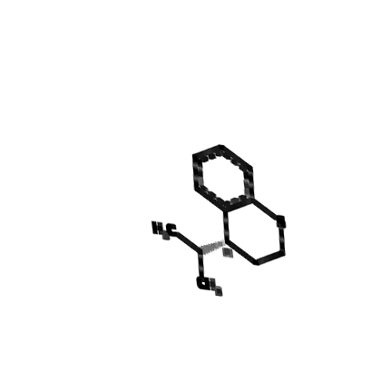 CC(C)[C@H]1CCSc2ccccc21